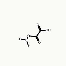 O=C(O)C(=O)OB(F)F